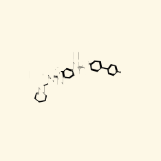 CN(CCN1CCCCC1)c1nc2ccc(NC(=O)Oc3ccc(-c4ccc(F)cc4)cc3)cc2s1